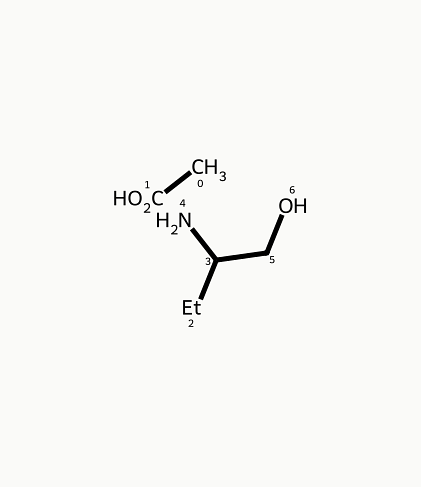 CC(=O)O.CCC(N)CO